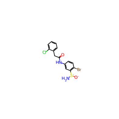 N[S+]([O-])c1cc(NC(=O)Cc2ccccc2Cl)ccc1Br